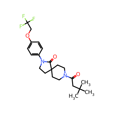 CC(C)(C)CC(=O)N1CCC2(CC1)CCN(c1ccc(OCC(F)(F)F)cc1)C2=O